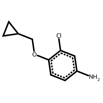 Nc1ccc(OCC2CC2)c(Cl)c1